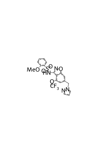 COc1ccccc1S(=O)(=O)Nc1noc2cc(Cn3cccn3)cc(OC(F)(F)F)c12